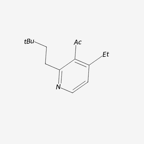 CCc1ccnc(CCC(C)(C)C)c1C(C)=O